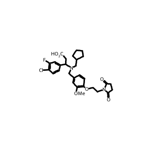 COc1cc(CN(CC2CCCC2)C(CC(=O)O)c2ccc(Cl)c(F)c2)ccc1OCCN1C(=O)CCC1=O